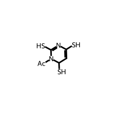 CC(=O)N1C(S)=NC(S)=CC1S